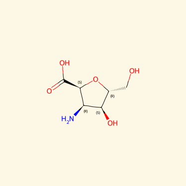 N[C@@H]1[C@H](O)[C@@H](CO)O[C@@H]1C(=O)O